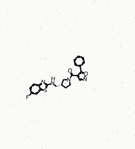 O=C(c1cnoc1-c1ccccc1)N1CC[C@H](CNc2nc3ccc(F)cc3s2)C1